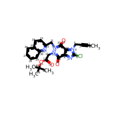 CC#CCn1c(Cl)nc2c(=O)n(CC(=O)OC(C)(C)C)n(Cc3ccc4ccccc4n3)c(=O)c21